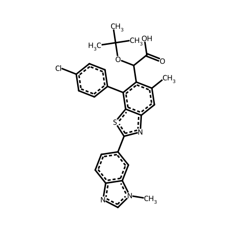 Cc1cc2nc(-c3ccc4ncn(C)c4c3)sc2c(-c2ccc(Cl)cc2)c1C(OC(C)(C)C)C(=O)O